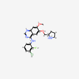 COc1cc2ncnc(Nc3cccc(Cl)c3F)c2cc1OC[C@H]1CCCN1